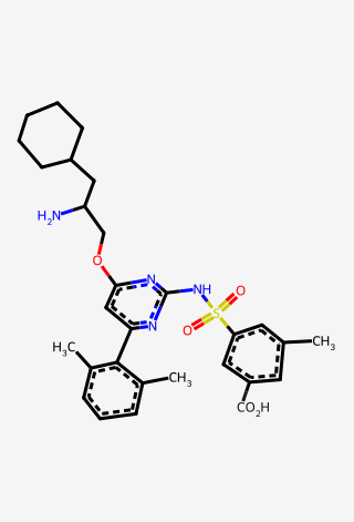 Cc1cc(C(=O)O)cc(S(=O)(=O)Nc2nc(OCC(N)CC3CCCCC3)cc(-c3c(C)cccc3C)n2)c1